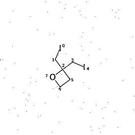 ICC1(CI)CCO1